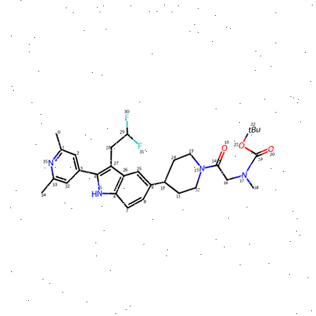 Cc1cc(-c2[nH]c3ccc(C4CCN(C(=O)CN(C)C(=O)OC(C)(C)C)CC4)cc3c2CC(F)F)cc(C)n1